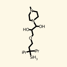 CC(C)C([SiH3])(CCOCC(O)C(O)N1CCN(C)CC1)C(C)C